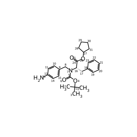 CC(C)(C)OC(=O)N(Cc1ccc(N)cc1)[C@@H](Cc1ccccc1)C(=O)OC1CCCC1